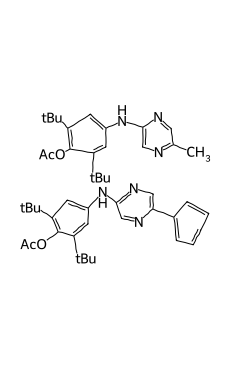 CC(=O)Oc1c(C(C)(C)C)cc(Nc2cnc(-c3ccccc3)cn2)cc1C(C)(C)C.CC(=O)Oc1c(C(C)(C)C)cc(Nc2cnc(C)cn2)cc1C(C)(C)C